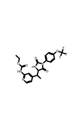 CCOC(=O)Nc1cc(C(C)C2NC(=O)N(c3ccc(OC(F)(F)F)cc3)C2=O)ccn1